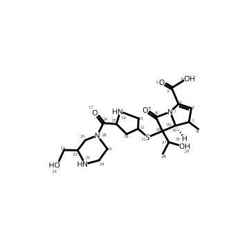 CC1C=C(C(=O)O)N2C(=O)C(SC3CNC(C(=O)N4CCNC(CO)C4)C3)(C(C)O)[C@H]12